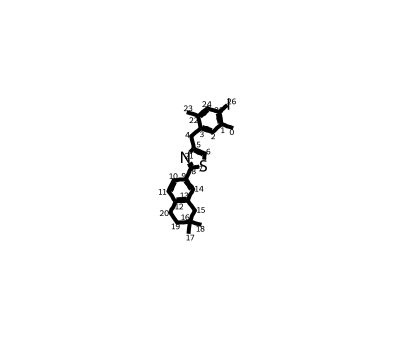 Cc1cc(Cc2csc(-c3ccc4c(c3)CC(C)(C)CC4)n2)c(C)cc1I